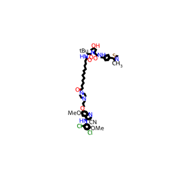 COc1cc(Nc2c(C#N)cnc3cc(OCCCN4CCN(C(=O)CCCCCCCCCCCCC(=O)NC(C(=O)N5CC(O)CC5C(=O)NCc5ccc(-c6scnc6C)cc5)C(C)(C)C)CC4)c(OC)cc23)c(Cl)cc1Cl